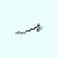 CCCCCCCCCCS(=O)(=O)Br